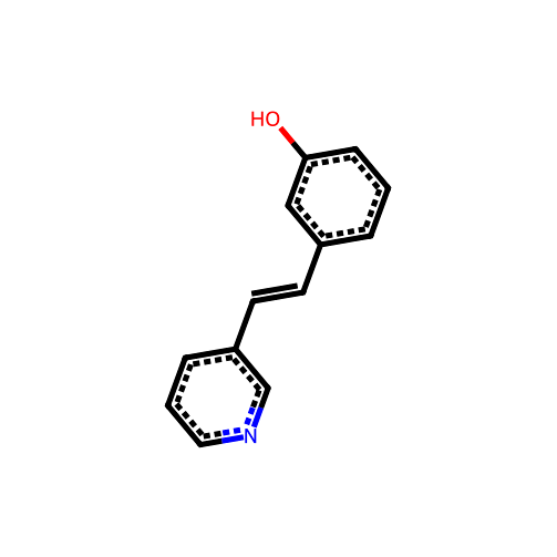 Oc1cccc(/C=C/c2cccnc2)c1